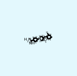 COC1(Cc2ccccc2C)CCN(c2ccc(C(=N)N)cc2)CC1